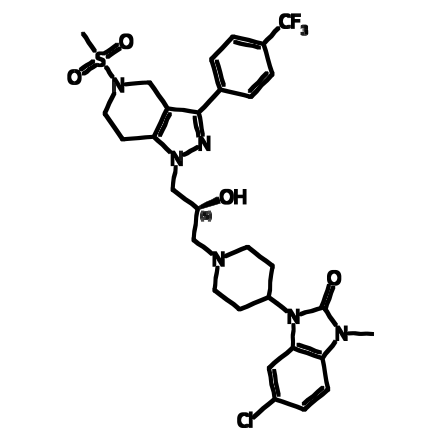 Cn1c(=O)n(C2CCN(C[C@H](O)Cn3nc(-c4ccc(C(F)(F)F)cc4)c4c3CCN(S(C)(=O)=O)C4)CC2)c2cc(Cl)ccc21